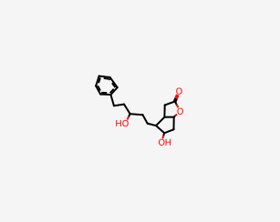 O=C1CC2C(CC(O)C2CCC(O)CCc2ccccc2)O1